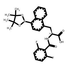 CC1(C)OB(c2ccc(C[C@H](NC(=O)c3c(F)cccc3F)C(=O)O)c3ccccc23)OC1(C)C